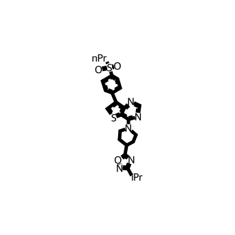 CCCS(=O)(=O)c1ccc(-c2csc3c(N4CCC(c5nc(C(C)C)no5)CC4)ncnc23)cc1